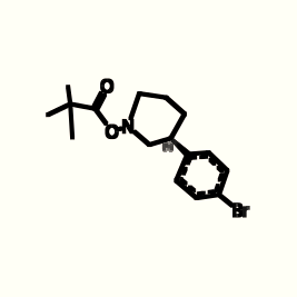 CC(C)(C)C(=O)ON1CCC[C@@H](c2ccc(Br)cc2)C1